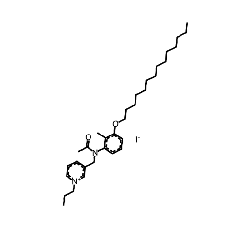 CCCCCCCCCCCCCCOc1cccc(N(Cc2ccc[n+](CCC)c2)C(C)=O)c1C.[I-]